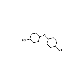 SC1CCC(SC2CCC(S)CC2)CC1